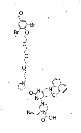 N#CC[C@H]1CN(c2nc(OC[C@@H]3CCCN3CCCOCCOCCOCCOc3c(Br)cc(C=O)cc3Br)nc3c2CCN(c2cccc4cccc(Cl)c24)C3)CCN1C(=O)O